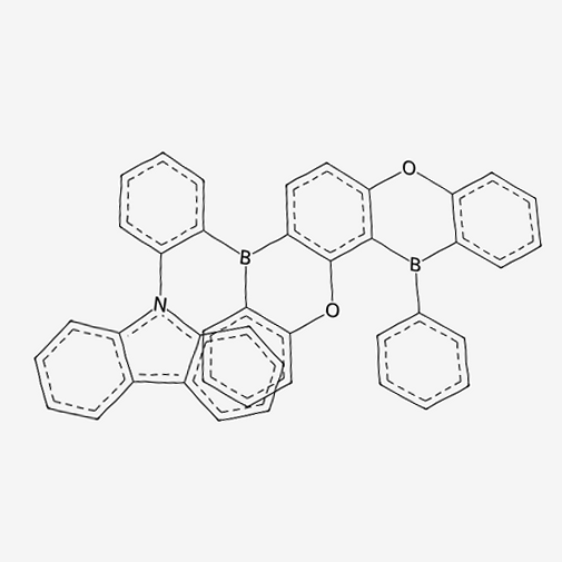 c1ccc(B2c3ccccc3Oc3ccc4c(c32)Oc2ccccc2B4c2ccccc2-n2c3ccccc3c3ccccc32)cc1